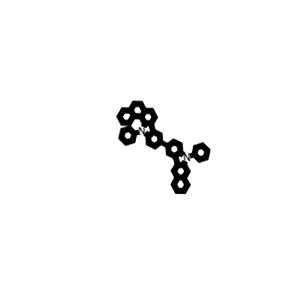 c1ccc(-n2c3ccc(-c4ccc5c(c4)c4ccc6ccc7ccccc7c6c4n5-c4ccccc4)cc3c3cc4ccccc4cc32)cc1